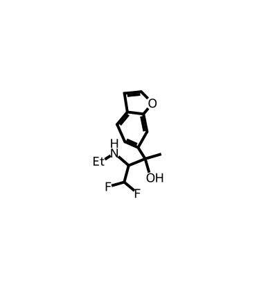 CCNC(C(F)F)C(C)(O)c1ccc2ccoc2c1